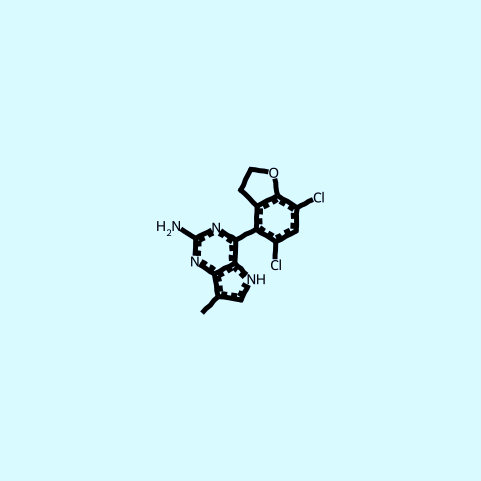 Cc1c[nH]c2c(-c3c(Cl)cc(Cl)c4c3CCO4)nc(N)nc12